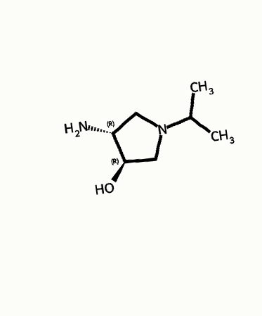 CC(C)N1C[C@@H](N)[C@H](O)C1